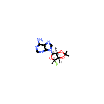 CC1(C)O[C@H]2[C@H](n3cnc4c(N)ncnc43)O[C@@](C)(F)[C@H]2O1